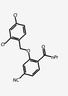 CCCC(=O)c1ccc(C#N)cc1OCc1ccc(Cl)cc1Cl